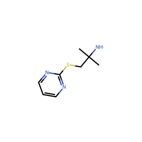 CC(C)([NH])CSc1ncccn1